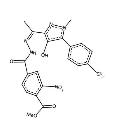 COC(=O)c1ccc(C(=O)N/N=C(/C)c2nn(C)c(-c3ccc(C(F)(F)F)cc3)c2O)cc1[N+](=O)[O-]